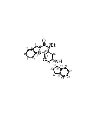 CCN(C(=O)c1cc2ccccc2[nH]1)C1COC[C@@H](N[C@H]2CCc3ccccc32)C1